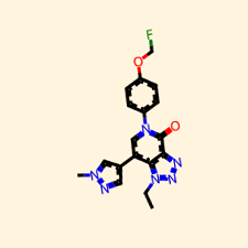 CCn1nnc2c(=O)n(-c3ccc(OCF)cc3)cc(-c3cnn(C)c3)c21